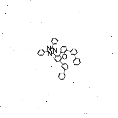 c1ccc(-c2cccc(-c3cccc4c3oc3c(-c5cccc(-c6ccccc6)c5)ccc(-c5nc(-c6ccccc6)nc(-c6ccccc6)n5)c34)c2)cc1